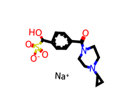 O=C(c1ccc(C(O)S(=O)(=O)[O-])cc1)N1CCN(C2CC2)CC1.[Na+]